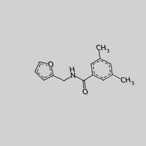 Cc1cc(C)cc(C(=O)NCc2ccco2)c1